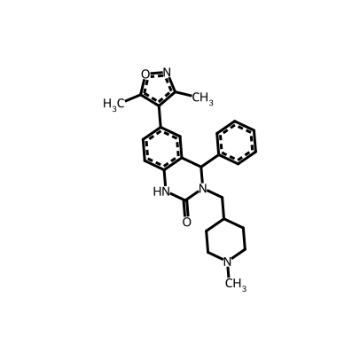 Cc1noc(C)c1-c1ccc2c(c1)C(c1ccccc1)N(CC1CCN(C)CC1)C(=O)N2